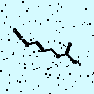 NC(=O)OCC=CN=C=O